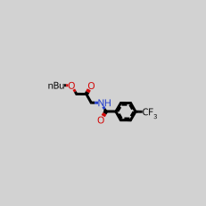 CCCCOCC(=O)CNC(=O)c1ccc(C(F)(F)F)cc1